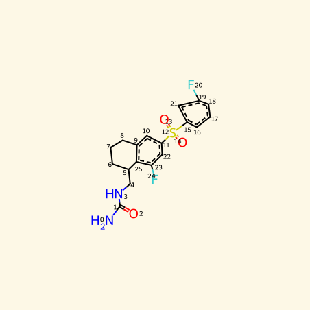 NC(=O)NCC1CCCc2cc(S(=O)(=O)c3cccc(F)c3)cc(F)c21